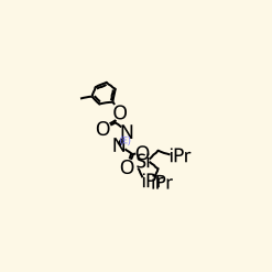 Cc1cccc(OC(=O)/N=N/C(=O)O[Si](CC(C)C)(CC(C)C)CC(C)C)c1